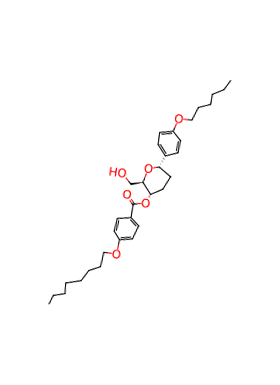 CCCCCCCCOc1ccc(C(=O)O[C@H]2CC[C@@H](c3ccc(OCCCCCC)cc3)O[C@@H]2CO)cc1